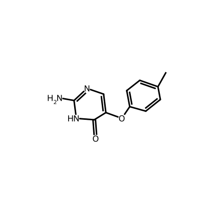 Cc1ccc(Oc2cnc(N)[nH]c2=O)cc1